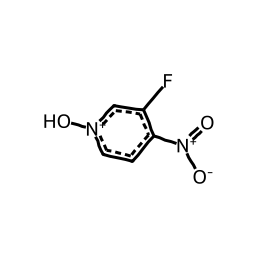 O=[N+]([O-])c1cc[n+](O)cc1F